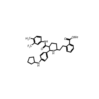 COC(=O)c1ccccc1CCC1CCC(C(=O)Nc2ccc(C)c(C(F)(F)F)c2)C(c2ccc(NC3CCCC3)cc2)N1